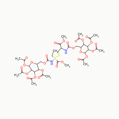 CCS(NC(=O)OCC1OC(OC(C)=O)C(OC(C)=O)C(OC(C)=O)C1OC(C)=O)(SCC(NC(=O)OCC1OC(OC(C)=O)C(OC(C)=O)C(OC(C)=O)C1OC(C)=O)C(=O)OC)C(=O)OC